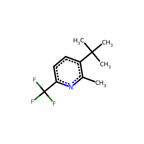 Cc1nc(C(F)(F)F)ccc1C(C)(C)C